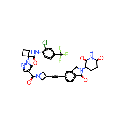 O=C1CCC(N2Cc3cc(C#CC4CN(C(=O)c5cnn(C6(C(=O)Nc7ccc(C(F)(F)F)cc7Cl)CCC6)c5)C4)ccc3C2=O)C(=O)N1